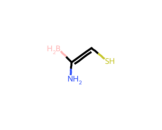 B/C(N)=C/S